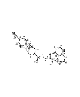 C[C@@H](NCCC(=O)N1CC2C[C@H](C)C(C1)N2c1ccc(C#N)cn1)c1cccc2ncccc12